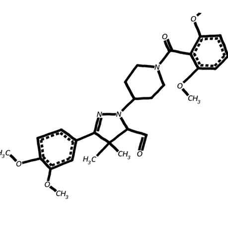 COc1ccc(C2=NN(C3CCN(C(=O)c4c(OC)cccc4OC)CC3)C(C=O)C2(C)C)cc1OC